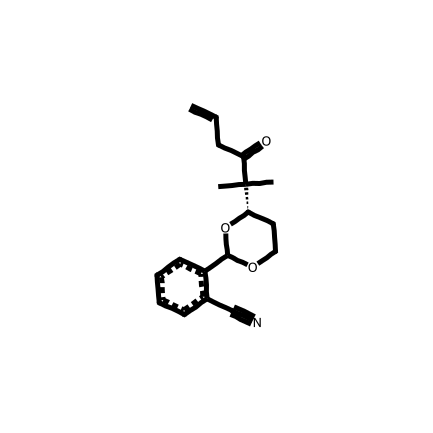 C=CCC(=O)C(C)(C)[C@@H]1CCOC(c2ccccc2C#N)O1